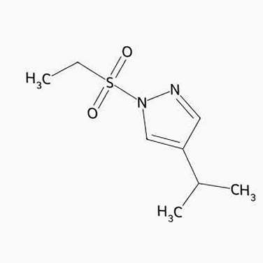 CCS(=O)(=O)n1cc(C(C)C)cn1